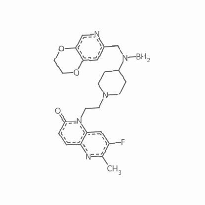 BN(Cc1cc2c(cn1)OCCO2)C1CCN(CCn2c(=O)ccc3nc(C)c(F)cc32)CC1